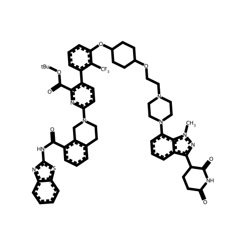 Cn1nc(C2CCC(=O)NC2=O)c2cccc(N3CCN(CCOC4CCC(Oc5cccc(-c6ccc(N7CCc8cccc(C(=O)Nc9nc%10ccccc%10s9)c8C7)nc6C(=O)OC(C)(C)C)c5C(F)(F)F)CC4)CC3)c21